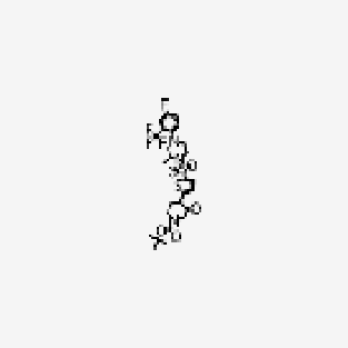 CC1CN(c2ccc(F)cc2C(F)(F)F)CCN1S(=O)(=O)c1ccc(C2CCN(C(=O)OC(C)(C)C)CC2=O)s1